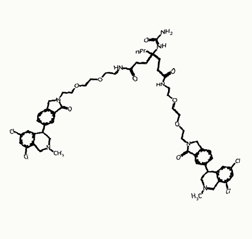 CCCC(CCC(=O)NCCOCCOCCN1Cc2ccc(C3CN(C)Cc4c(Cl)cc(Cl)cc43)cc2C1=O)(CCC(=O)NCCOCCOCCN1Cc2ccc(C3CN(C)Cc4c(Cl)cc(Cl)cc43)cc2C1=O)NC(N)=O